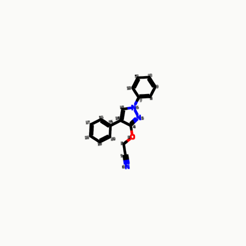 N#CCOc1nn(-c2ccccc2)cc1-c1ccccc1